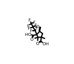 CC1(C(=O)O)C/C(=C/O)C(C(=O)O)(C(F)(F)C(F)(F)C(F)(F)F)C1(C)C